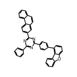 c1ccc(-c2nc(-c3ccc(-c4cccc5oc6ccccc6c45)cc3)nc(-c3ccc4c(ccc5ccccc54)c3)n2)cc1